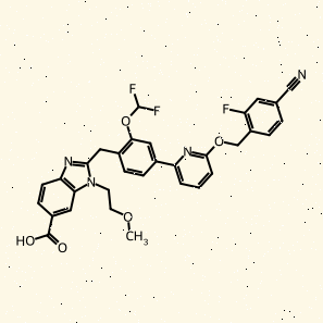 COCCn1c(Cc2ccc(-c3cccc(OCc4ccc(C#N)cc4F)n3)cc2OC(F)F)nc2ccc(C(=O)O)cc21